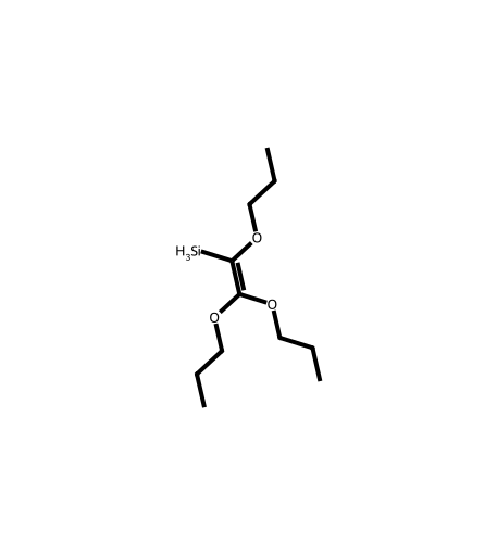 CCCOC([SiH3])=C(OCCC)OCCC